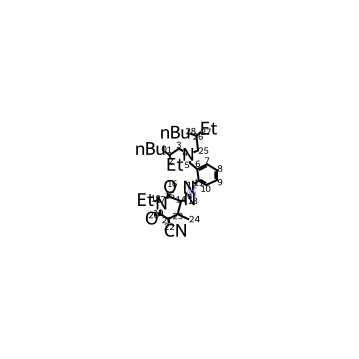 CCCCC(CC)CN(Cc1ccccc1/N=N/C1C(=O)N(CC)C(=O)C(C#N)C1C)CC(CC)CCCC